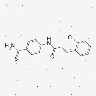 NC(=S)c1ccc(NC(=O)/C=C/c2ccccc2Cl)cc1